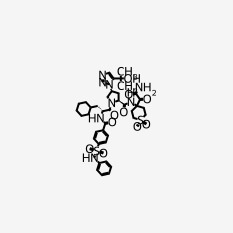 CC(C)(O)c1cnnn1[C@H]1C[C@@H](C(=O)NC2(C(=O)C(N)=O)CCS(=O)(=O)CC2)N(C(=O)[C@@H](CC2CCCCC2)NC(=O)c2ccc(S(=O)(=O)Nc3ccccc3)cc2)C1